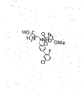 COc1cnc(C(=O)N[C@H](Cc2ccc(-c3cc(Cl)ccc3F)cc2Cl)C[C@H](N)C(=O)O)o1